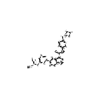 CN(C)CC1=CN=CC(c2ccc3[nH]nc(C(=O)Nc4ccc(CN5CCC5)nc4)c3c2)C1